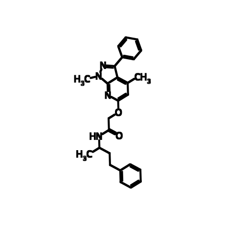 Cc1cc(OCC(=O)NC(C)CCc2ccccc2)nc2c1c(-c1ccccc1)nn2C